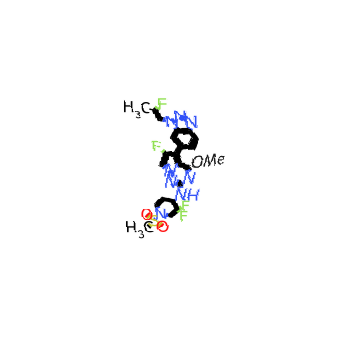 COc1nc(N[C@@H]2CCN(S(C)(=O)=O)CC2(F)F)nn2cc(F)c(-c3ccc4nnn(C[C@H](C)F)c4c3)c12